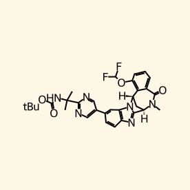 CN1C(=O)c2cccc(OC(F)F)c2[C@@H]2C[C@@H]1c1nc3ccc(-c4cnc(C(C)(C)NC(=O)OC(C)(C)C)nc4)cc3n12